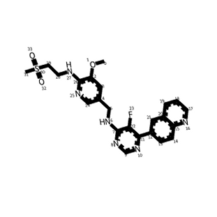 COc1cc(CNc2ncnc(-c3ccc4ncccc4c3)c2F)cnc1NCCS(C)(=O)=O